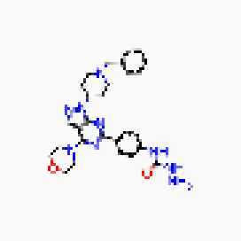 NNC(=O)Nc1ccc(-c2nc(N3CCOCC3)c3cnn(C4CCN(Cc5ccccc5)CC4)c3n2)cc1